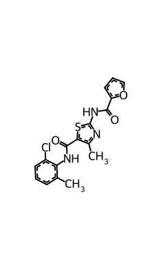 Cc1cccc(Cl)c1NC(=O)c1sc(NC(=O)c2ccco2)nc1C